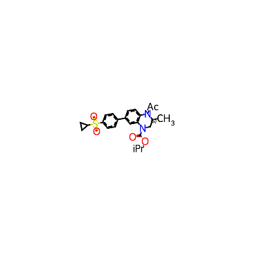 CC(=O)N1c2ccc(-c3ccc(S(=O)(=O)C4CC4)cc3)cc2N(C(=O)OC(C)C)C[C@@H]1C